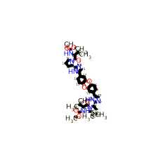 COC(=O)N[C@H](C(=O)N1CCC[C@H]1c1ncc(-c2ccc3c(c2)Oc2ccc(-c4cnc([C@@H]5C[Si](C)(C)CN5C(=O)[C@@H](NC(=O)OC)C(C)C)[nH]4)cc2O3)[nH]1)C(C)C